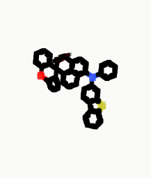 c1ccc(N(c2ccc3c(c2)sc2ccccc23)c2ccc3c4c(cccc24)C2(c4ccccc4Oc4ccccc42)c2ccccc2-3)cc1